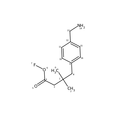 CC(C)(CC(=O)OF)Cc1ccc(CN)cc1